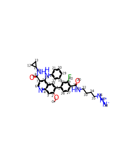 COc1cc2ncc(C(=O)NC3CC3)c(Nc3ccccc3)c2cc1-c1ccc(C(=O)NCCCCN=[N+]=[N-])c(F)c1